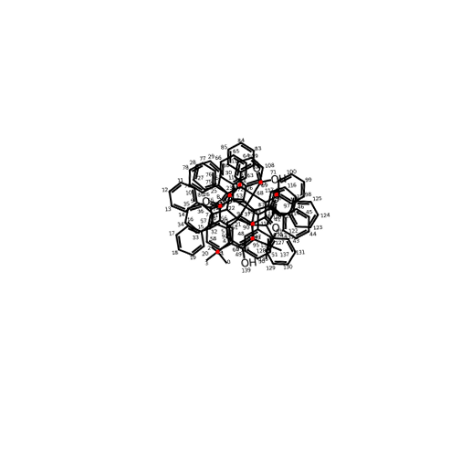 CC(C)(C)C1=C(C(C(=O)c2ccccc2)c2ccccc2)C(C(C(=O)c2ccccc2)c2ccccc2)(C(C(C(=O)c2ccccc2)c2ccccc2)(C(C(=O)c2ccccc2)c2ccccc2)C(C(=O)O)(C(C(=O)c2ccccc2)c2ccccc2)C(C(=O)c2ccccc2)c2ccccc2)C(C(C(=O)c2ccccc2)c2ccccc2)(C(C(=O)c2ccccc2)c2ccccc2)C(C(C)(C)C)=C1O